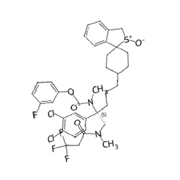 CN(C[C@](CCCC1CCC2(CC1)c1ccccc1C[S+]2[O-])(c1ccc(Cl)c(Cl)c1)N(C)C(=O)Oc1cccc(F)c1)C(=O)CC(F)(F)F